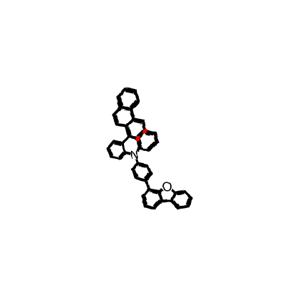 c1ccc(N(c2ccc(-c3cccc4c3oc3ccccc34)cc2)c2ccccc2-c2cccc3c2ccc2ccccc23)cc1